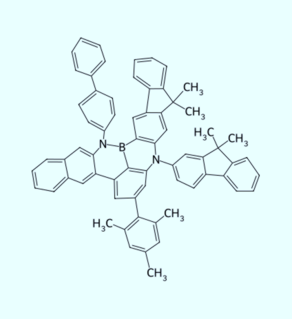 Cc1cc(C)c(-c2cc3c4c(c2)N(c2ccc5c(c2)C(C)(C)c2ccccc2-5)c2cc5c(cc2B4N(c2ccc(-c4ccccc4)cc2)c2cc4ccccc4cc2-3)-c2ccccc2C5(C)C)c(C)c1